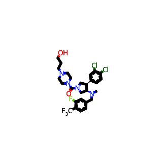 CN(Cc1ccc(C(F)(F)F)c(F)c1)[C@H]1CN(C(=O)N2CCN(CCCO)CC2)C[C@@H]1c1ccc(Cl)c(Cl)c1